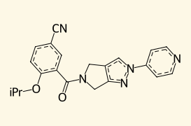 CC(C)Oc1ccc(C#N)cc1C(=O)N1Cc2cn(-c3ccncc3)nc2C1